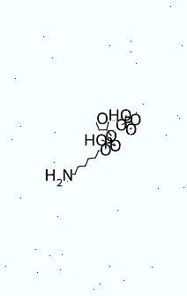 COP(=O)(O)OC[C@H]1OCC[C@@H]1OP(=O)(O)OCCCCCCN